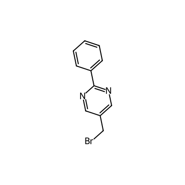 BrCc1cnc(-c2ccccc2)nc1